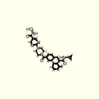 O=C(NC1CC1)/C(=C/c1ccc(C(=O)N2CCN(c3ncc(C(=O)NO)cn3)CC2)cc1)c1ccccc1F